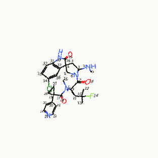 CNC1CC2(CN1C(=O)C(CC(C)(C)F)N(C)C(=O)C1(c3ccncc3)CC1)C(=O)Nc1ccc(Cl)cc12